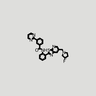 O=C(Nc1ccccc1-c1nc2cc(CN3CC[C@@H](F)C3)cnc2s1)c1cccc(-c2ncccn2)c1